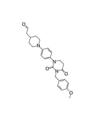 COc1ccc(CN2C(=O)CCN(c3ccc(N4CCC(CC=O)CC4)cc3)C2=O)cc1